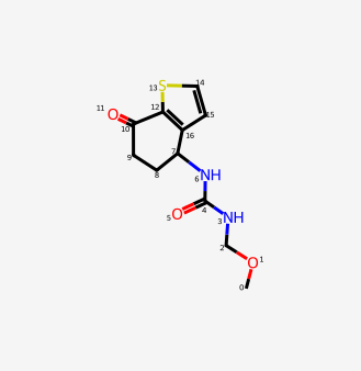 COCNC(=O)NC1CCC(=O)c2sccc21